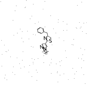 C[Si](C)(C)n1cc(C2=NC(Cc3ccccc3)CS2)cn1